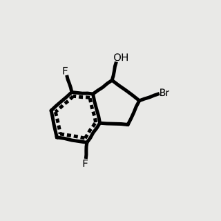 OC1c2c(F)ccc(F)c2CC1Br